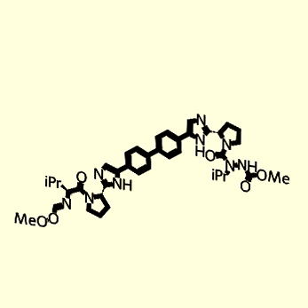 COO/C=N/[C@H](C(=O)N1CCC[C@H]1c1ncc(-c2ccc(-c3ccc(-c4cnc([C@@H]5CCCN5C(=O)N(NC(=O)OC)C(C)C)[nH]4)cc3)cc2)[nH]1)C(C)C